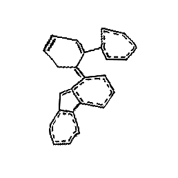 C1=CCC(=c2cccc3c2=Cc2ccccc2-3)C(c2ccccc2)=C1